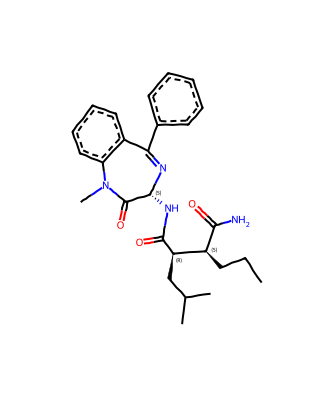 CCC[C@H](C(N)=O)[C@@H](CC(C)C)C(=O)N[C@H]1N=C(c2ccccc2)c2ccccc2N(C)C1=O